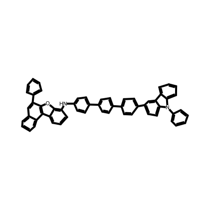 c1ccc(-c2cc3ccccc3c3c2oc2c(Nc4ccc(-c5ccc(-c6ccc(-c7ccc8c(c7)c7ccccc7n8-c7ccccc7)cc6)cc5)cc4)cccc23)cc1